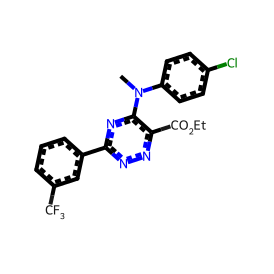 CCOC(=O)c1nnc(-c2cccc(C(F)(F)F)c2)nc1N(C)c1ccc(Cl)cc1